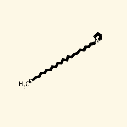 CCCCCCCCCCCCCCCCCCCCCCCC=Cn1cccc1